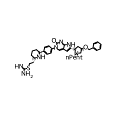 CCCCCN1C[C@H](OCc2ccccc2)C[C@H]1c1cc2cn(-c3ccc([C@@H]4CCC[C@@H](CCSC(=N)N)N4)cc3)c(=O)nc2[nH]1